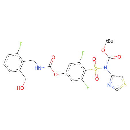 CC(C)(C)OC(=O)N(c1cscn1)S(=O)(=O)c1c(F)cc(OC(=O)NCc2c(F)cccc2CO)cc1F